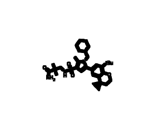 Cc1c(S(=O)(=O)NCC(C)(C)C(N)=O)cc(-c2cc(C(C)(C)C)c3c(c2)C2(CCO3)CC2)n1CC1CCCCC1